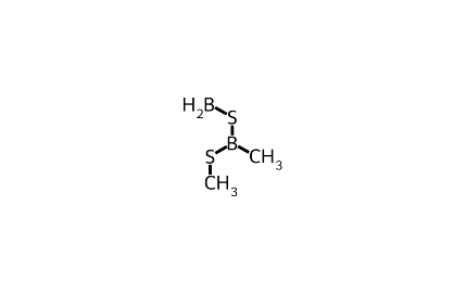 BSB(C)SC